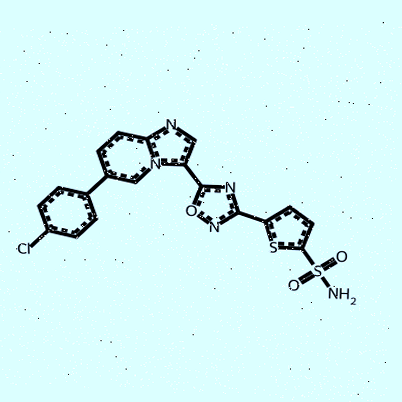 NS(=O)(=O)c1ccc(-c2noc(-c3cnc4ccc(-c5ccc(Cl)cc5)cn34)n2)s1